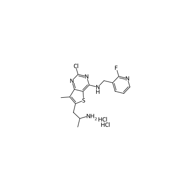 Cc1c(CC(C)N)sc2c(NCc3cccnc3F)nc(Cl)nc12.Cl.Cl